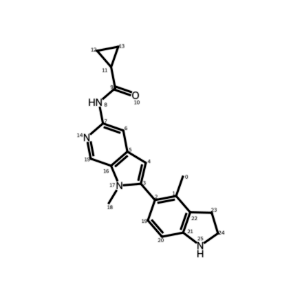 Cc1c(-c2cc3cc(NC(=O)C4CC4)ncc3n2C)ccc2c1CCN2